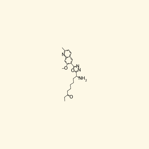 CCC(=O)CCCCC[C@H](N)c1nnc(-c2cc3ccc(C)nc3cc2OC)o1